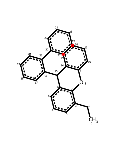 CCc1cccc2c1Oc1ccccc1C2c1ccccc1-c1ccccc1